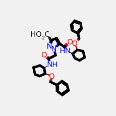 O=C(Cn1nc(C(=O)O)cc1C(=O)N[C@H]1CCCC[C@@H]1OCc1ccccc1)N[C@H]1CCCC[C@@H]1OCc1ccccc1